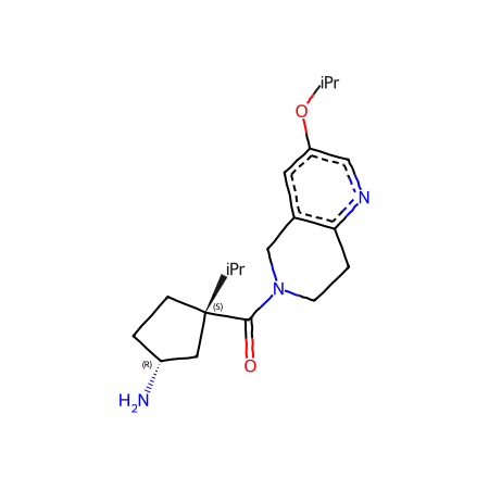 CC(C)Oc1cnc2c(c1)CN(C(=O)[C@@]1(C(C)C)CC[C@@H](N)C1)CC2